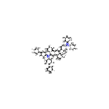 C[Si]1(C)c2cc(N(c3ccccc3)c3ccccc3)ccc2-c2cc3c4ccccc4c(N(c4ccc(-c5ccccc5)cc4)c4ccc(-c5ccccc5)cc4)cc3c3cccc1c23